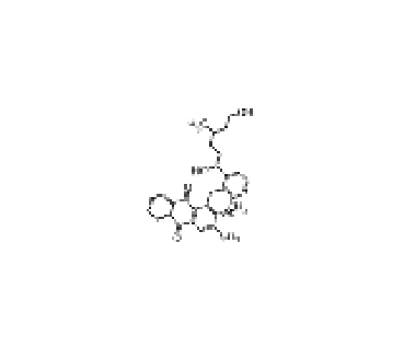 CC(=O)c1c(C)cc2c(c1Cc1c(C)cccc1C(O)CCC(C)CCO)C(=O)c1ccccc1C2=O